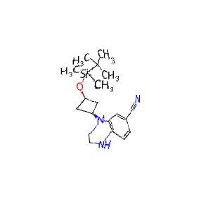 CC(C)(C)[Si](C)(C)O[C@H]1C[C@@H](N2CCNc3ccc(C#N)cc32)C1